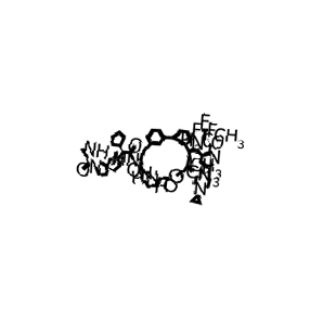 CO[C@@H](C)c1ncc(N2CCN(C3CC3)CC2)cc1-c1c2c3cc(ccc3n1CC(F)(F)F)-c1cccc(c1)C[C@H](NC(=O)[C@H](C1CCCC1)N1CC[C@]3(CCN(C(=O)[C@H]4CN4)C3)C1)C(=O)N1CCC[C@H](N1)C(=O)OCC(C)(C)C2